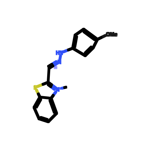 COc1ccc(N/N=C/c2sc3ccccc3[n+]2C)cc1